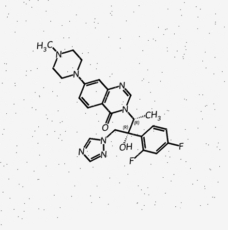 C[C@@H](n1cnc2cc(N3CCN(C)CC3)ccc2c1=O)[C@](O)(Cn1cncn1)c1ccc(F)cc1F